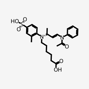 CC(=O)N(/C=C/C(C)=[N+](\CCCCCC(=O)O)c1ccc(S(=O)(=O)O)cc1C)c1ccccc1